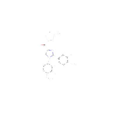 COc1ccc(-n2cc(C(=O)N3CC[C@H](N)C3)nc2-c2ccc(C#N)c(F)c2)cc1F